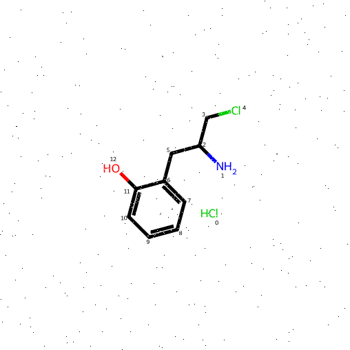 Cl.NC(CCl)Cc1ccccc1O